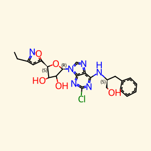 CCc1cc([C@H]2O[C@@H](n3cnc4c(N[C@H](CO)Cc5ccccc5)nc(Cl)nc43)C(O)C2O)on1